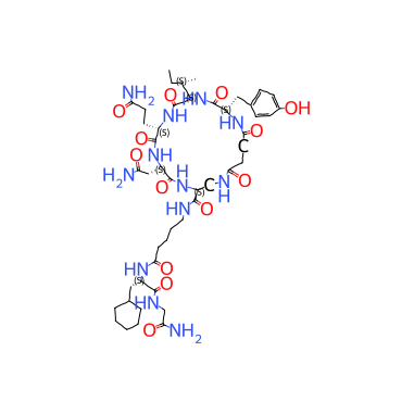 CC[C@H](C)[C@@H]1NC(=O)[C@H](Cc2ccc(O)cc2)NC(=O)CCC(=O)NC[C@@H](C(=O)NCCCCC(=O)N[C@@H](CC2CCCCC2)C(=O)NCC(N)=O)NC(=O)[C@H](CC(N)=O)NC(=O)[C@H](CCC(N)=O)NC1=O